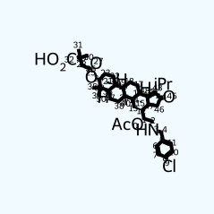 CC(=O)O[C@@H](CNCc1ccc(Cl)cc1)[C@H]1C[C@]2(C)[C@H](CC[C@@H]3[C@@]4(C)CC[C@H](OC(=O)CC(C)(C)C(=O)O)C(C)(C)[C@@H]4CC[C@]32C)C2=C(C(C)C)C(=O)CC21